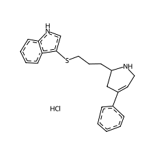 C1=C(c2ccccc2)CC(CCCSc2c[nH]c3ccccc23)NC1.Cl